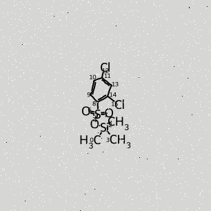 C[Si](C)(C)OS(=O)(=O)c1ccc(Cl)cc1Cl